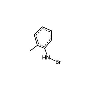 Cc1ccccc1NBr